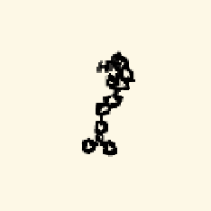 C1=Cc2ccc3cc(-c4ccc5cc(-c6ccc(N(c7ccccc7)c7ccccc7)cc6)ccc5c4)cnc3c2NC1